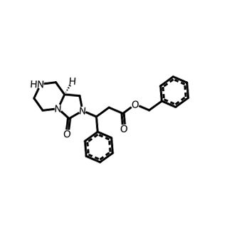 O=C(CC(c1ccccc1)N1C[C@@H]2CNCCN2C1=O)OCc1ccccc1